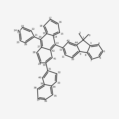 CC1(C)c2ccccc2-c2ccc(-c3c4ccccc4c(-c4ccncc4)c4ccc(-c5ccc6ccccc6c5)cc34)cc21